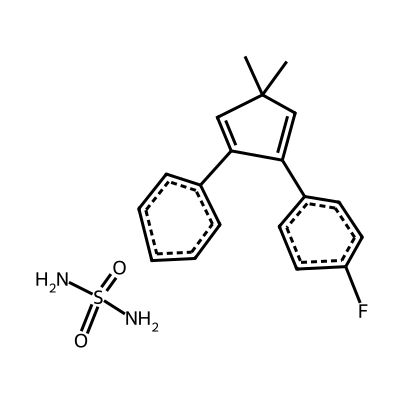 CC1(C)C=C(c2ccccc2)C(c2ccc(F)cc2)=C1.NS(N)(=O)=O